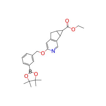 CCOC(=O)C1C2Cc3cc(OCc4cccc(B5OC(C)(C)C(C)(C)O5)c4)ncc3C21